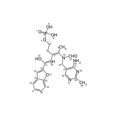 C/C(=C(CCOP(=O)(O)O)/[SH]=C(\O)c1cc2ccccc2o1)N(C=O)Cc1cnc(C)nc1N